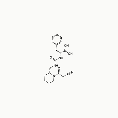 N#CCC(=O)N1CCCC[C@H]1CNC(=O)N[C@@H](Cc1ccccc1)B(O)O